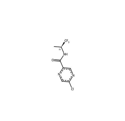 C[C@H](NC(=O)c1cnc(Cl)cn1)C(F)(F)F